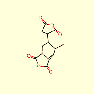 CC1C=C2C(=O)OC(=O)C2CC1C1CC(=O)OC1=O